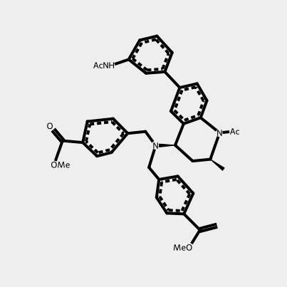 C=C(OC)c1ccc(CN(Cc2ccc(C(=O)OC)cc2)[C@@H]2C[C@H](C)N(C(C)=O)c3ccc(-c4cccc(NC(C)=O)c4)cc32)cc1